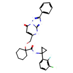 O=C(NC1(c2cccc(Cl)c2F)CC1)C1(OCc2cc(=O)n3nc(-c4ccccc4)nc3[nH]2)CCCCC1